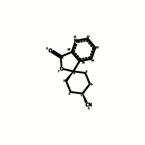 N#C[C@H]1CC[C@@]2(CC1)OC(=O)c1ncccc12